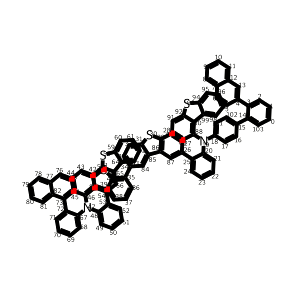 c1ccc(-c2ccc3ccccc3c2)c(-c2ccc(N(c3ccccc3-c3ccc4sc5ccc(-c6cccc7c6sc6cccc(N(c8ccccc8-c8ccc9sc%10ccccc%10c9c8)c8ccccc8-c8cccc9ccccc89)c67)cc5c4c3)c3cccc4sc5ccccc5c34)cc2)c1